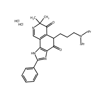 CCCN(CCC)CCCC1C(=O)c2nc(-c3ccccc3)[nH]c2C2=C1C(=O)C(C)(C)N=C2.Cl.Cl